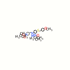 COc1ccc(CSc2ccc(NCC3CCN(C(=O)OC(C)(C)C)CC3)c(NC(=O)C(C)(C)C)c2)cc1